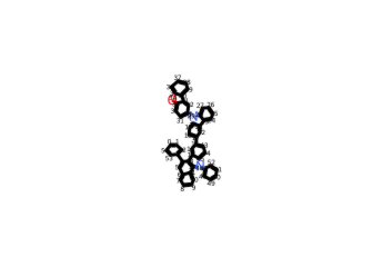 c1ccc(-c2cc3ccccc3c3c2c2cc(-c4ccc5c(c4)c4ccccc4n5-c4ccc5oc6ccccc6c5c4)ccc2n3-c2ccccc2)cc1